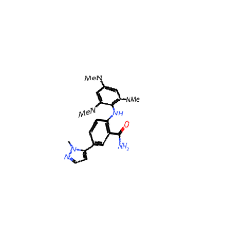 CNc1cc(NC)c(Nc2ccc(-c3ccnn3C)cc2C(N)=O)c(NC)c1